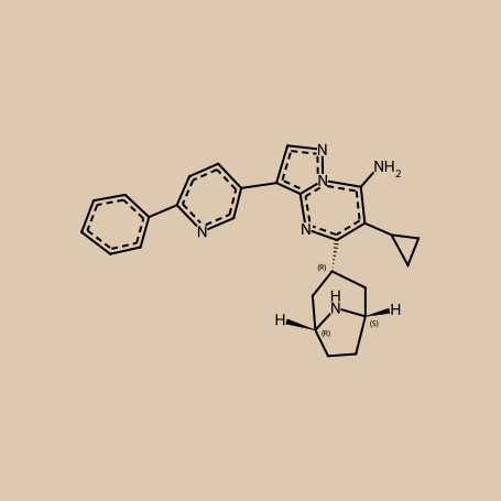 Nc1c(C2CC2)c([C@H]2C[C@H]3CC[C@@H](C2)N3)nc2c(-c3ccc(-c4ccccc4)nc3)cnn12